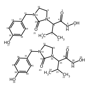 CC(C)C(C(=O)NO)N1CCN(Cc2ccc(O)cc2)C1=O.CC(C)C(C(=O)NO)N1CCN(Cc2ccc(O)cc2)C1=O